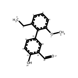 CCc1cccc(OC)c1-c1ccc(O)c(C=O)c1